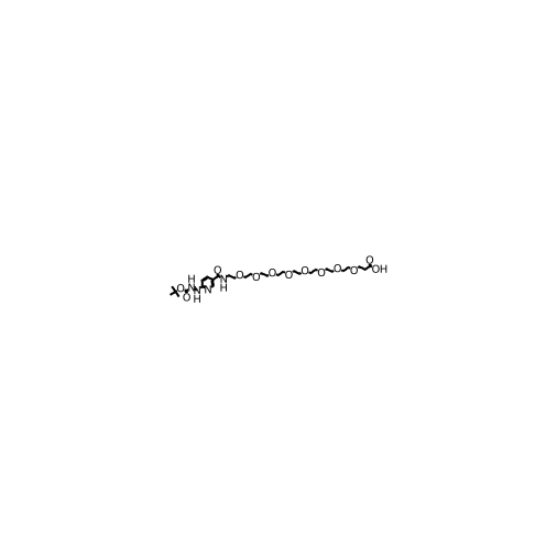 CC(C)(C)OC(=O)NNc1ccc(C(=O)NCCOCCOCCOCCOCCOCCOCCOCCOCCC(=O)O)cn1